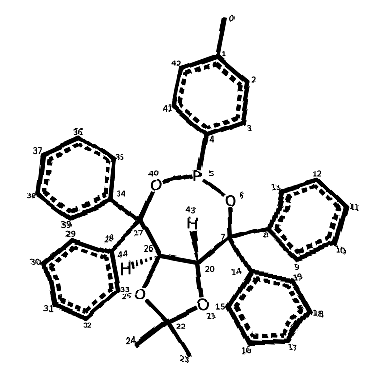 Cc1ccc(P2OC(c3ccccc3)(c3ccccc3)[C@@H]3OC(C)(C)O[C@H]3C(c3ccccc3)(c3ccccc3)O2)cc1